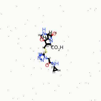 O=C(Cn1nnnc1SCC1=C(C(=O)O)N2C(=O)[C@H]3NCOC1[C@H]32)NC1CC1